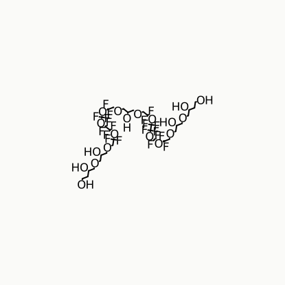 OCCC(O)COCC(O)COCC(F)(F)OC(F)(F)OC(F)(F)C(F)(F)OC(F)(F)COCC(O)COCC(F)(F)OC(F)(F)OC(F)(F)C(F)(F)OC(F)(F)COCC(O)COCC(O)CCO